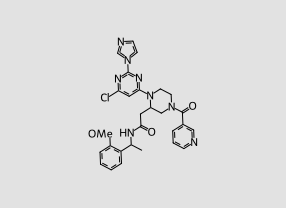 COc1ccccc1C(C)NC(=O)CC1CN(C(=O)c2cccnc2)CCN1c1cc(Cl)nc(-n2ccnc2)n1